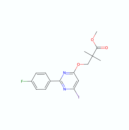 COC(=O)C(C)(C)COc1cc(I)nc(-c2ccc(F)cc2)n1